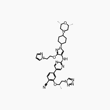 C[C@@H]1CN(C2CCC(n3cc(Nc4ncc(-c5ccc(C#N)c(O[C@@H](C)Cn6cnnn6)c5)cn4)c(OCCn4cccn4)n3)CC2)C[C@H](C)O1